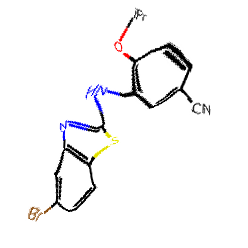 CC(C)Oc1ccc(C#N)cc1Nc1nc2cc(Br)ccc2s1